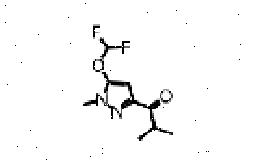 CC(C)C(=O)c1cc(OC(F)F)n(C)n1